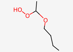 CCCCOC(C)OO